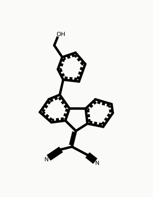 N#CC(C#N)=C1c2ccccc2-c2c1cccc2-c1cccc(CO)c1